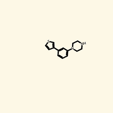 c1cc(-c2ccsc2)cc(N2CCNCC2)c1